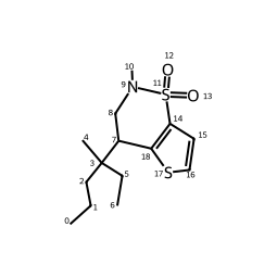 CCCC(C)(CC)C1CN(C)S(=O)(=O)c2ccsc21